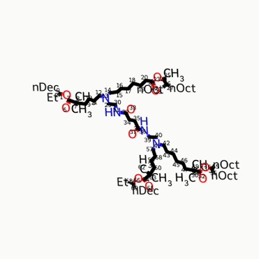 CCCCCCCCCC[C@@H](CC)OC(=O)C(C)(C)CCCCN(CCCCCCCC(=O)OC(C)C(CCCCCCCC)CCCCCCCC)CCNC(=O)CCC(=O)NCCN(CCCCCCC(C)(C)C(=O)OC(CCCCCCCC)CCCCCCCC)CCCCC(C)(C)C(=O)O[C@H](CC)CCCCCCCCCC